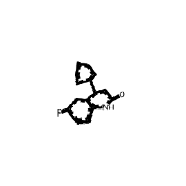 O=c1cc(-c2ccccc2)c2cc(F)ccc2[nH]1